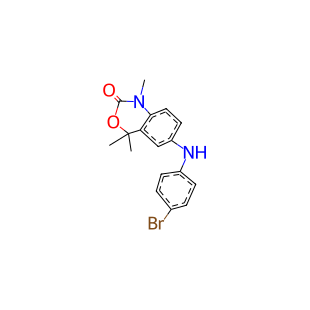 CN1C(=O)OC(C)(C)c2cc(Nc3ccc(Br)cc3)ccc21